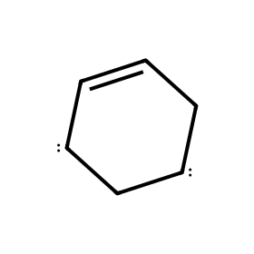 [C]1C=CC[C]C1